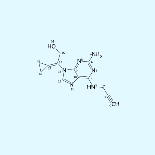 C#CCNc1nc(N)nc2c1ncn2C(CO)=C1CC1